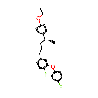 C#CC(CCCc1ccc(F)c(Oc2ccc(F)cc2)c1)c1ccc(OCC)cc1